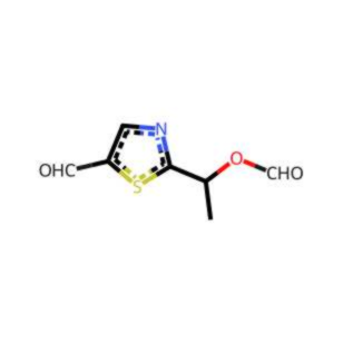 CC(OC=O)c1ncc(C=O)s1